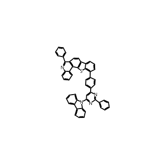 c1ccc(-c2nc(-c3ccc(-c4cccc5c4sc4c5ccc5c(-c6ccccc6)nc6ccccc6c54)cc3)cc(-n3c4ccccc4c4ccccc43)n2)cc1